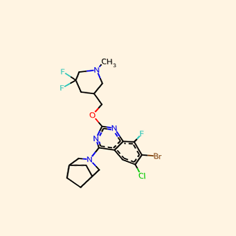 CN1CC(COc2nc(N3CC4CCC(C4)C3)c3cc(Cl)c(Br)c(F)c3n2)CC(F)(F)C1